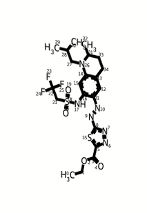 CCOC(=O)c1nnc(N=Nc2cc3c(cc2NS(=O)(=O)CC(F)(F)F)N(CC(C)C)C(C)CC3)s1